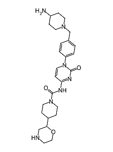 NC1CCN(Cc2ccc(-n3ccc(NC(=O)N4CCC(C5CNCCO5)CC4)nc3=O)cc2)CC1